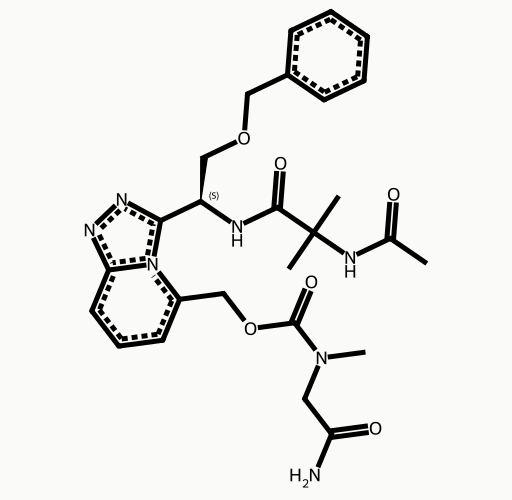 CC(=O)NC(C)(C)C(=O)N[C@H](COCc1ccccc1)c1nnc2cccc(COC(=O)N(C)CC(N)=O)n12